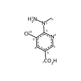 CN(N)c1ncc(C(=O)O)cc1Cl